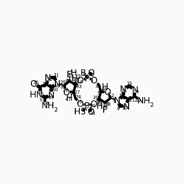 BP1(=O)OC[C@H]2O[C@@H](n3cnc4c(N)ncnc43)[C@H](F)[C@@H]2OP(=O)(S)OC[C@H]2O[C@@H](n3cnc4c(=O)[nH]c(N)nc43)[C@H](F)[C@@H]2O1